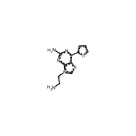 NCCn1cnc2c(-c3ccco3)nc(N)nc21